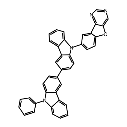 c1ccc(-n2c3ccccc3c3cc(-c4ccc5c(c4)c4ccccc4n5-c4ccc5oc6cncnc6c5c4)ccc32)cc1